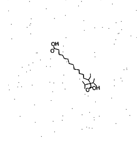 CCC(CCCCCCCCCCCCC(=O)O)C(C(=O)O)(C(C)C)C(C)C